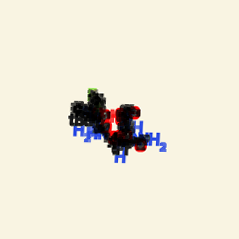 CC(C)C(CC(=O)CCNC(=O)[C@@H](N)CCN(C(=O)CO)[C@@H](c1cc(-c2cc(F)ccc2F)cn1Cc1ccccc1)C(C)(C)C)C(=O)N[C@@H](CCCNC(N)=O)C(=O)OC1CCN(C(=O)CN2C(=O)C=CC2=O)CC1